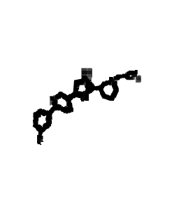 Fc1cccc(-c2ccc(-c3c[nH]c(C4CCCN(CC(F)(F)F)C4)n3)cn2)c1